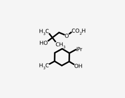 CC(C)(O)COC(=O)O.CC1CCC(C(C)C)C(O)C1